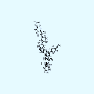 CC(C)CN1CCC(C(=O)Nc2cc(-c3ccc4snc(Cn5nc(NC(=O)C6Cc7ccccc7N6)cc5-c5ccc(C#N)cc5)c4c3)ccn2)CC1